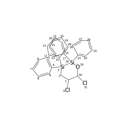 ClC1C[Si](c2ccccc2)(c2ccccc2)[Si](c2ccccc2)(c2ccccc2)OC1Cl